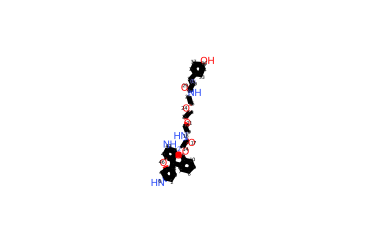 N=c1ccc2c(-c3ccccc3C(=O)OCC(=O)NCCOCCOCCNC(=O)/C=C/c3ccc(O)cc3)c3ccc(N)cc3oc-2c1